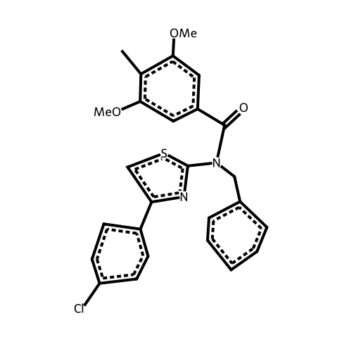 COc1cc(C(=O)N(Cc2ccccc2)c2nc(-c3ccc(Cl)cc3)cs2)cc(OC)c1C